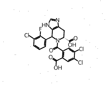 O=C(O)c1cc(Cl)c(Cl)cc1C(=O)N1C(c2cccc(Cl)c2F)c2[nH]cnc2C[C@@H]1C(=O)O